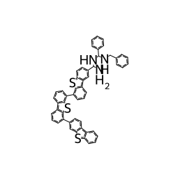 NC(NC(NCc1ccccc1)c1ccccc1)c1ccc2sc3c(-c4cccc5c4sc4c(-c6ccc7c(c6)sc6ccccc67)cccc45)cccc3c2c1